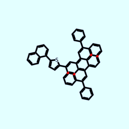 C(=C(c1ccccc1)c1ccccc1)c1c2ccccc2c(C=C(c2ccccc2)c2ccccc2)c2cc(-c3ccc(-c4cccc5ccccc45)s3)ccc12